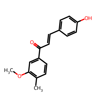 COc1cc(C(=O)C=Cc2ccc(O)cc2)ccc1C